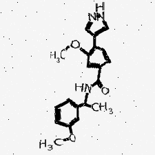 COc1cccc(C(C)NC(=O)c2ccc(-c3cn[nH]c3)c(OC)c2)c1